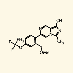 COCc1cc(OC(F)(F)P)ccc1-c1cn2c(C(F)(F)F)nc(C#N)c2cn1